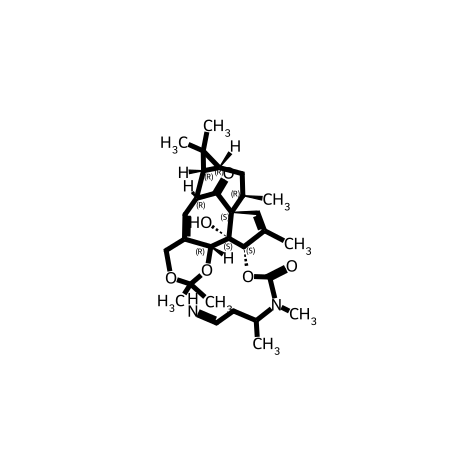 CC1=C[C@]23C(=O)[C@@H](C=C4COC(C)(C)O[C@H]4[C@]2(O)[C@H]1OC(=O)N(C)C(C)CC=N)[C@H]1[C@@H](C[C@H]3C)C1(C)C